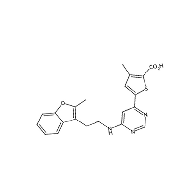 Cc1cc(-c2cc(NCCc3c(C)oc4ccccc34)ncn2)sc1C(=O)O